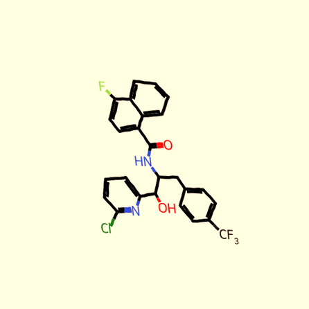 O=C(NC(Cc1ccc(C(F)(F)F)cc1)C(O)c1cccc(Cl)n1)c1ccc(F)c2ccccc12